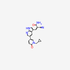 N#CC(=Cc1c[nH]c2ncc(-c3ccc(=O)n(CC4CC4)c3)cc12)C(N)=O